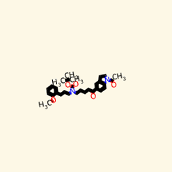 COc1ccccc1CCCN(CCCCC(=O)c1ccc2c(c1)CCN2C(C)=O)C(=O)OC(C)(C)C